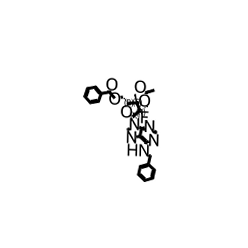 CC(=O)O[C@@]1(C)[C@@H](COC(=O)c2ccccc2)O[C@@H](n2cnc3c(NCc4ccccc4)ncnc32)[C@]1(C)F